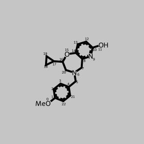 COc1ccc(CN2Cc3nc(O)ccc3OC(C3CC3)C2)cc1